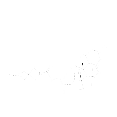 CC(=O)N1CC2(C1)CN(C(=O)CC[C@@H](C)[C@H]1CC[C@H]3[C@@H]4CC=C5C[C@@H](O)CC[C@]5(C)[C@H]4CC[C@]13C)C2